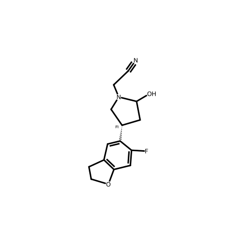 N#CCN1C[C@@H](c2cc3c(cc2F)OCC3)CC1O